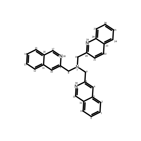 c1ccc2cc(CN(Cc3cc4ccccc4cn3)Cc3ccc4ccccc4n3)ncc2c1